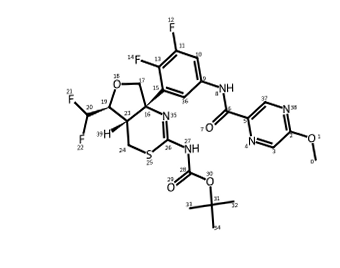 COc1cnc(C(=O)Nc2cc(F)c(F)c([C@]34CO[C@H](C(F)F)[C@H]3CSC(NC(=O)OC(C)(C)C)=N4)c2)cn1